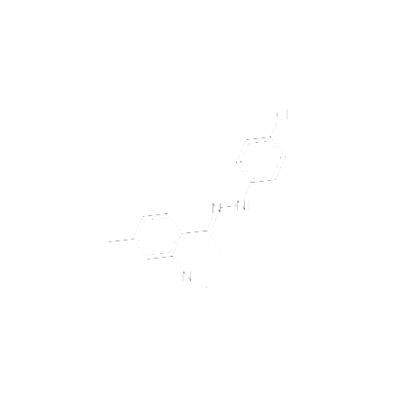 C/C(=N\Nc1ccc(Cl)cc1)c1ccc(C)cc1N